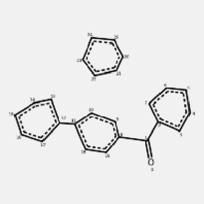 O=C(c1ccccc1)c1ccc(-c2ccccc2)cc1.c1ccccc1